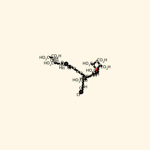 O=C(O)CCC(NC(=O)NC(CCCCNC(=O)Nc1cccc(-c2cn(CCOCCOCCOCCC(=O)N[C@@H](CCCCNC(=S)Nc3ccc(CC4CN(CC(=O)O)CCN(CC(=O)O)CCN(CC(=O)O)CCN4CC(=O)O)cc3)C(=O)NC(CCCCNC(=O)Cc3ccc(Cl)cc3)C(=O)O)nn2)c1)C(=O)O)C(=O)O